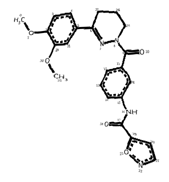 COc1ccc(C2=NN(C(=O)c3cccc(NC(=O)c4ccno4)c3)CCC2)cc1OC